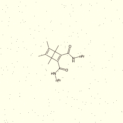 CCCNC(=O)C1=C(C(=O)NCCC)C2(C)C(C)=C(C)C12C